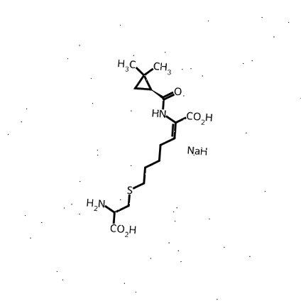 CC1(C)C[C@@H]1C(=O)N/C(=C\CCCCSCC(N)C(=O)O)C(=O)O.[NaH]